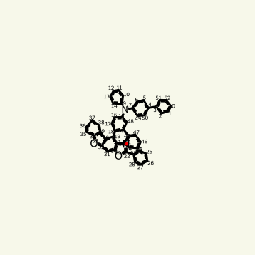 c1ccc(-c2ccc(N(c3ccccc3)c3ccc(-c4c5nc(-c6ccccc6)oc5cc5oc6ccccc6c45)c(-c4ccccc4)c3)cc2)cc1